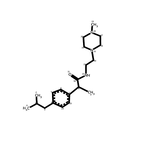 CC(C)Cc1ccc(C(C)C(=O)NCCN2CCN(C)CC2)cc1